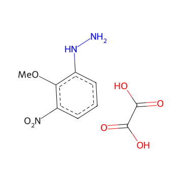 COc1c(NN)cccc1[N+](=O)[O-].O=C(O)C(=O)O